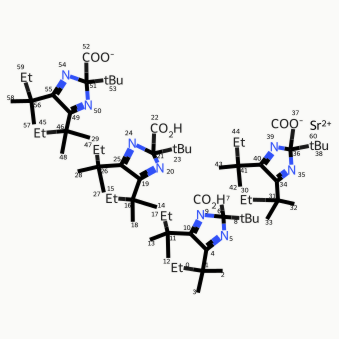 CCC(C)(C)C1=NC(C(=O)O)(C(C)(C)C)N=C1C(C)(C)CC.CCC(C)(C)C1=NC(C(=O)O)(C(C)(C)C)N=C1C(C)(C)CC.CCC(C)(C)C1=NC(C(=O)[O-])(C(C)(C)C)N=C1C(C)(C)CC.CCC(C)(C)C1=NC(C(=O)[O-])(C(C)(C)C)N=C1C(C)(C)CC.[Sr+2]